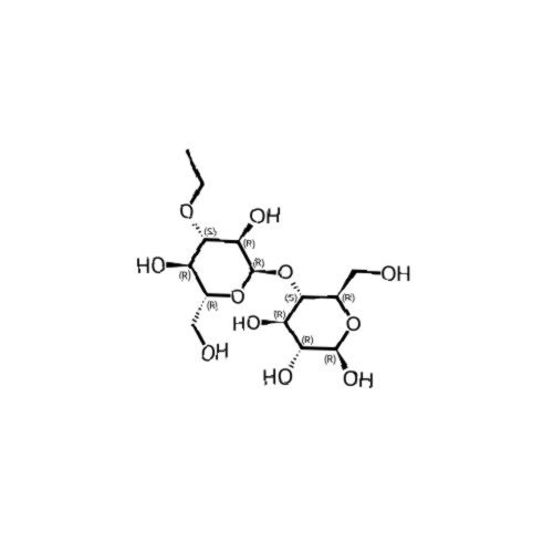 CCO[C@@H]1[C@@H](O)[C@@H](O[C@H]2[C@H](O)[C@@H](O)[C@H](O)O[C@@H]2CO)O[C@H](CO)[C@H]1O